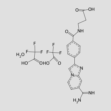 N=C(N)c1ccn2cc(-c3ccc(C(=O)NCCC(=O)O)cc3)nc2c1.O.O=C(O)C(F)(F)F.O=C(O)C(F)(F)F